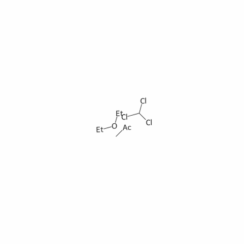 CC(C)=O.CCOCC.ClC(Cl)Cl